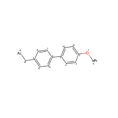 CCCOc1ccc(-c2ccc(CC(C)=O)cc2)cc1